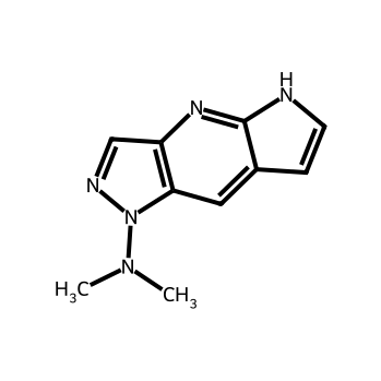 CN(C)n1ncc2nc3[nH]ccc3cc21